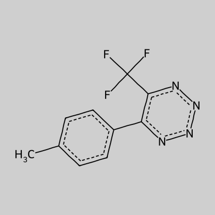 Cc1ccc(-c2nnnnc2C(F)(F)F)cc1